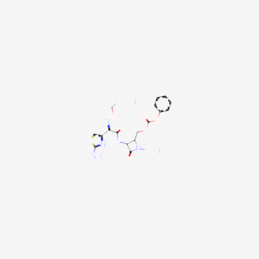 Nc1nc(/C(=N/OCC(=O)O)C(=O)NC2C(=O)N(S(=O)(=O)O)C2COC(=O)Oc2ccccc2)cs1